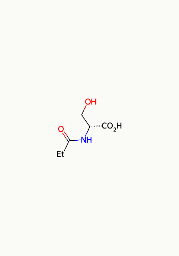 CCC(=O)N[C@H](CO)C(=O)O